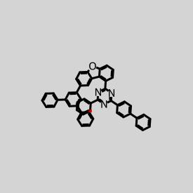 c1ccc(-c2ccc(-c3nc(-c4ccccc4)nc(-c4cccc5oc6ccc(-c7cc(-c8ccccc8)cc(-c8ccccc8)c7)cc6c45)n3)cc2)cc1